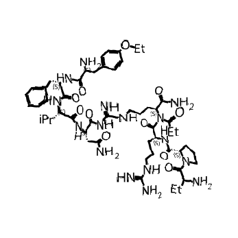 CCOc1ccc(C[C@H](N)C(=O)N[C@@H](Cc2ccccc2)C(=O)N[C@H](C(=O)N[C@@H](CC(N)=O)C(=O)NC(=N)NCCC[C@@H](C(N)=O)N(C(=O)CC)C(=O)[C@H](CCCNC(=N)N)NC(=O)[C@@H]2CCCN2C(=O)C(N)CC)C(C)C)cc1